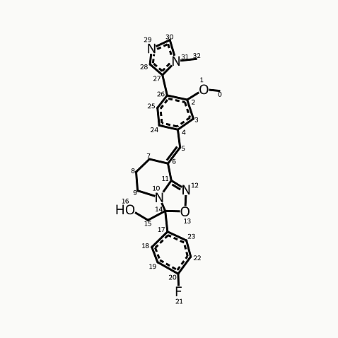 COc1cc(/C=C2\CCCN3C2=NOC3(CO)c2ccc(F)cc2)ccc1-c1cncn1C